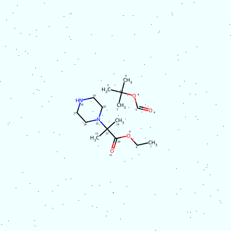 CC(C)(C)OC=O.CCOC(=O)C(C)(C)N1CCNCC1